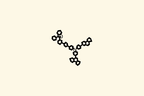 c1ccc(-c2c(-c3cccc(-c4ccc(-c5ccc(N(c6ccc(-c7ccc8c(ccc9ccccc98)c7)cc6)c6ccc(-c7cc8ccccc8c8ccccc78)cc6)cc5)cc4)c3)oc3ccccc23)cc1